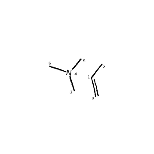 C=CC.CN(C)C